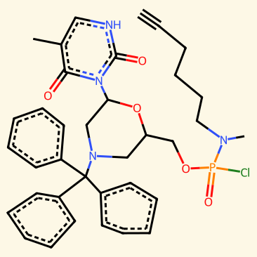 C#CCCCCN(C)P(=O)(Cl)OCC1CN(C(c2ccccc2)(c2ccccc2)c2ccccc2)CC(n2c(=O)[nH]cc(C)c2=O)O1